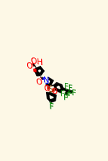 O=C(O)[C@]12CC[C@@](C(=O)N3CC[C@](c4ccc(C(F)(C(F)(F)F)C(F)(F)F)cc4)(S(=O)(=O)c4ccc(F)cc4)C3)(CC1)C2